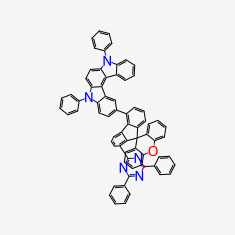 c1ccc(-c2nc(-c3ccccc3)nc(-c3cccc4c3C3(c5ccccc5Oc5ccccc53)c3cccc(-c5ccc6c(c5)c5c7c8ccccc8n(-c8ccccc8)c7ccc5n6-c5ccccc5)c3-4)n2)cc1